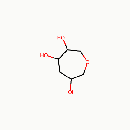 OC1COCC(O)C(O)C1